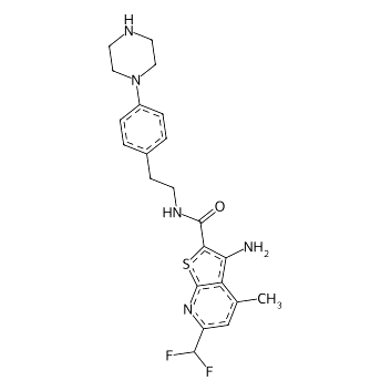 Cc1cc(C(F)F)nc2sc(C(=O)NCCc3ccc(N4CCNCC4)cc3)c(N)c12